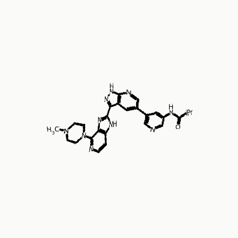 CC(C)C(=O)Nc1cncc(-c2cnc3[nH]nc(-c4nc5c(N6CCN(C)CC6)nccc5[nH]4)c3c2)c1